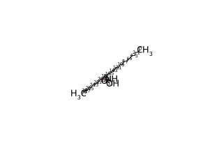 CCCCCCCCCCCCCCCCCC(CCCCCCCCCCCC)NC(=O)O